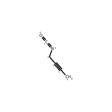 CC#CCN=C=O